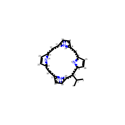 CC(C)c1c2nc(cc3ccc(cc4nc(cc5ccc1[nH]5)C=C4)[nH]3)C=C2